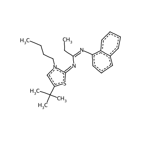 CCCCn1cc(C(C)(C)C)sc1=NC(CC)=Nc1cccc2ccccc12